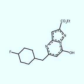 CCOC(=O)c1cc2nc(CC3CCC(F)CC3)cc(O)n2n1